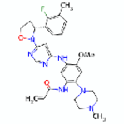 C=CC(=O)Nc1cc(Nc2cc(N3OCC[C@@H]3c3cccc(C)c3F)ncn2)c(OC)cc1N1CCN(C)CC1